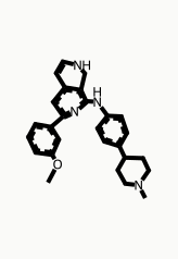 COc1cccc(-c2cc3c(c(Nc4ccc(C5CCN(C)CC5)cc4)n2)CNC=C3)c1